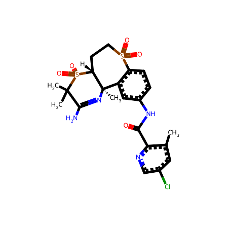 Cc1cc(Cl)cnc1C(=O)Nc1ccc2c(c1)[C@@]1(C)N=C(N)C(C)(C)S(=O)(=O)[C@@H]1CCS2(=O)=O